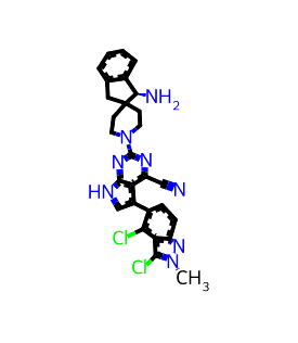 Cn1nc2ccc(-c3c[nH]c4nc(N5CCC6(CC5)Cc5ccccc5[C@H]6N)nc(C#N)c34)c(Cl)c2c1Cl